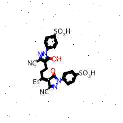 CCC(CCc1c(C#N)nn(-c2ccc(S(=O)(=O)O)cc2)c1O)=C1C(=O)N(c2ccc(S(=O)(=O)O)cc2)N=C1C#N